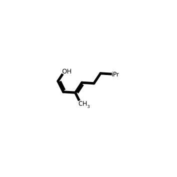 CC(=CCCC(C)C)/C=C\O